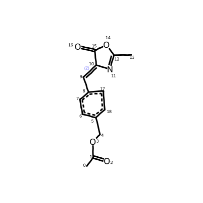 CC(=O)OCc1ccc(/C=C2\N=C(C)OC2=O)cc1